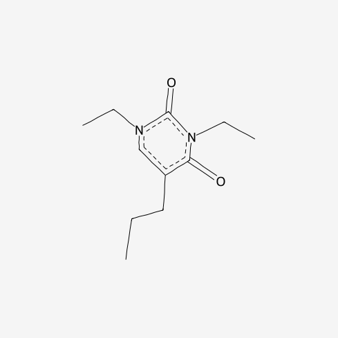 CCCc1cn(CC)c(=O)n(CC)c1=O